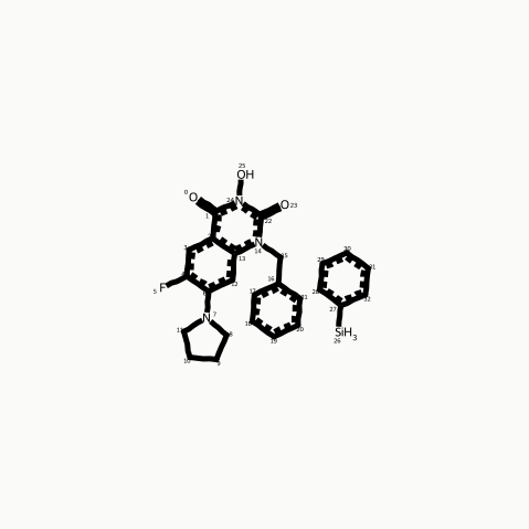 O=c1c2cc(F)c(N3CCCC3)cc2n(Cc2ccccc2)c(=O)n1O.[SiH3]c1ccccc1